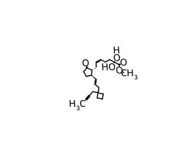 CC#CCC1(C/C=C/[C@H]2CCC(=O)[C@@H]2C/C=C\CCC(O)(O)C(=O)OC)CCC1